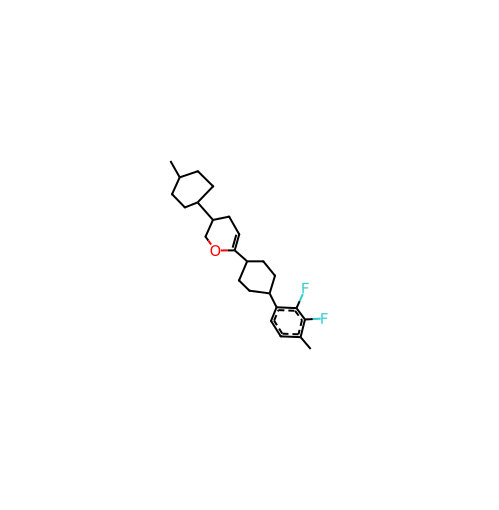 Cc1ccc(C2CCC(C3=CCC(C4CCC(C)CC4)CO3)CC2)c(F)c1F